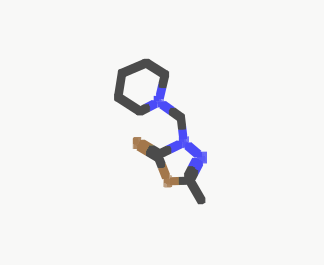 Cc1nn(CN2CCCCC2)c(=S)s1